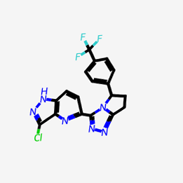 FC(F)(F)c1ccc(C2CCc3nnc(-c4ccc5[nH]nc(Cl)c5n4)n32)cc1